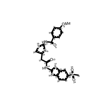 COc1ccc(C(=O)Nc2nc(CC(=O)Nc3nc4ccc(S(C)(=O)=O)cc4s3)cs2)cc1